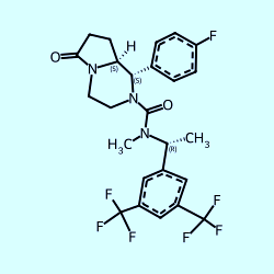 C[C@H](c1cc(C(F)(F)F)cc(C(F)(F)F)c1)N(C)C(=O)N1CCN2C(=O)CC[C@H]2[C@@H]1c1ccc(F)cc1